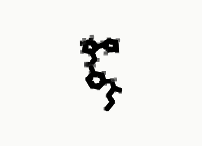 CCCC(C)Oc1cccc(NCc2c[nH]nc2-c2cccs2)c1